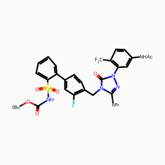 CCCc1nn(-c2cc(NC(C)=O)ccc2C(F)(F)F)c(=O)n1Cc1ccc(-c2ccccc2S(=O)(=O)NC(=O)OC(C)(C)C)cc1F